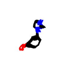 O=C1C=C(n2ccnc2)CCC1